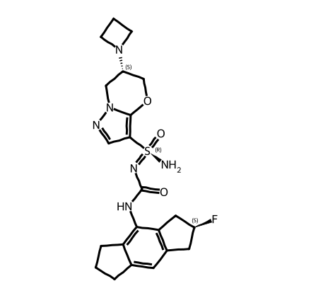 N[S@@](=O)(=NC(=O)Nc1c2c(cc3c1C[C@@H](F)C3)CCC2)c1cnn2c1OC[C@@H](N1CCC1)C2